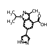 Cc1nn(C(C)C)c2cc(-c3cn[nH]c3)cc(C(=O)O)c12